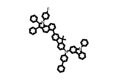 CC1(C)c2cc(-c3cccc4c3ccc3c(-c5ccccc5)c(-c5ccccc5)n(-c5ccc(F)cc5)c34)ccc2-c2ccc(N(c3ccc(-c4ccccc4)cc3)c3ccc4c(c3)c3ccccc3n4-c3ccccc3)cc21